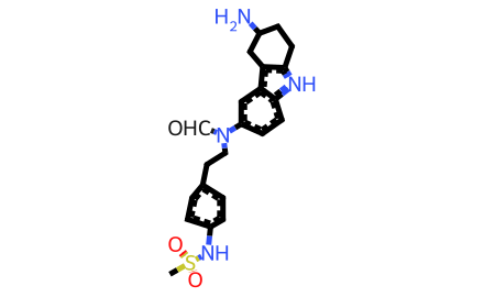 CS(=O)(=O)Nc1ccc(CCN(C=O)c2ccc3[nH]c4c(c3c2)CC(N)CC4)cc1